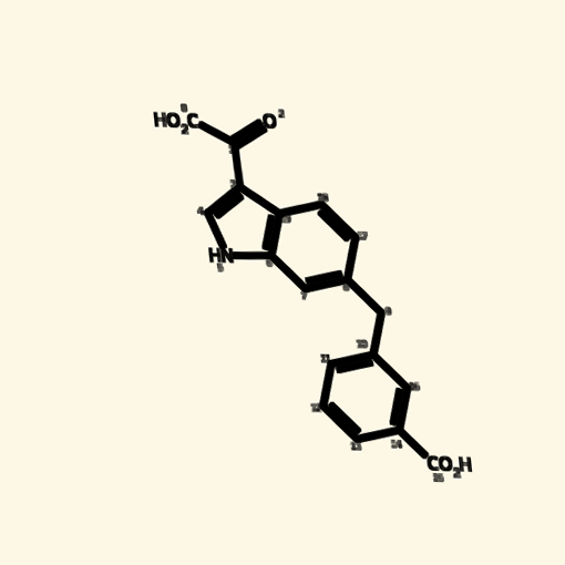 O=C(O)C(=O)c1c[nH]c2cc(Cc3cccc(C(=O)O)c3)ccc12